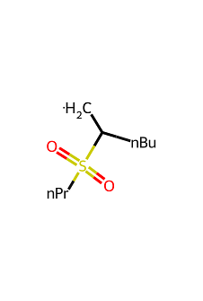 [CH2]C(CCCC)S(=O)(=O)CCC